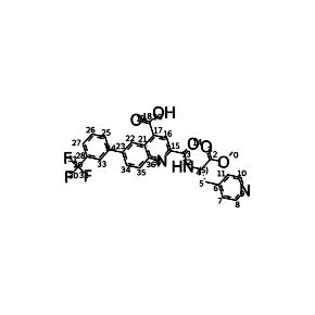 COC(=O)[C@H](Cc1ccncc1)NC(=O)c1cc(C(=O)O)c2cc(-c3cccc(C(F)(F)F)c3)ccc2n1